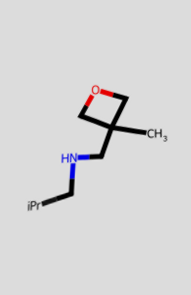 CC(C)CNCC1(C)COC1